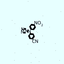 N#Cc1ccc(N(c2ccc([N+](=O)[O-])cc2)n2cnnc2)cc1